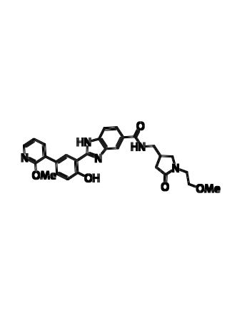 COCCN1CC(CNC(=O)c2ccc3[nH]c(-c4cc(-c5cccnc5OC)ccc4O)nc3c2)CC1=O